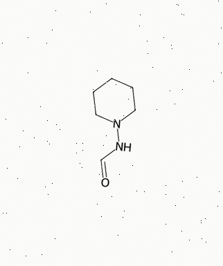 O=CNN1CCCCC1